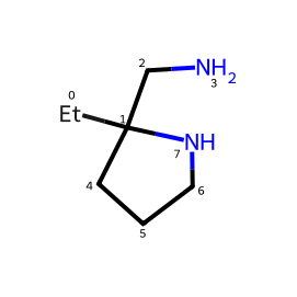 CCC1(CN)CCCN1